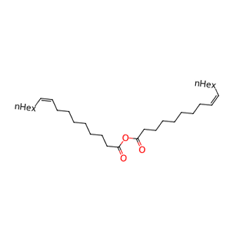 CCCCCC/C=C\CCCCCCCC(=O)OC(=O)CCCCCCC/C=C\CCCCCC